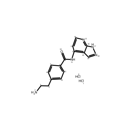 Cl.Cl.NCCc1ccc(C(=O)Nc2ccnc3[nH]ncc23)cc1